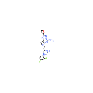 CNC(CCn1ccc2c1nc(N)n1nc(-c3ccco3)nc21)CN(C)c1ccc(F)cc1F